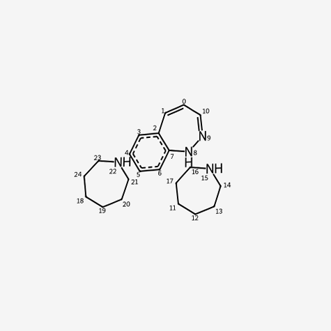 C1=Cc2ccccc2NN=C1.C1CCCNCC1.C1CCCNCC1